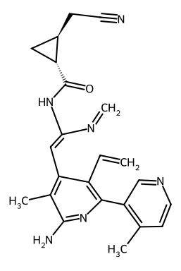 C=Cc1c(-c2cnccc2C)nc(N)c(C)c1/C=C(\N=C)NC(=O)[C@@H]1C[C@H]1CC#N